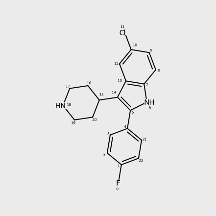 Fc1ccc(-c2[nH]c3ccc(Cl)cc3c2C2CCNCC2)cc1